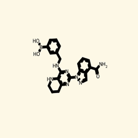 NC(=O)c1cccc2c1cnn2-c1nc2c(c(NCc3cccc(B(O)O)c3)n1)NCCC2